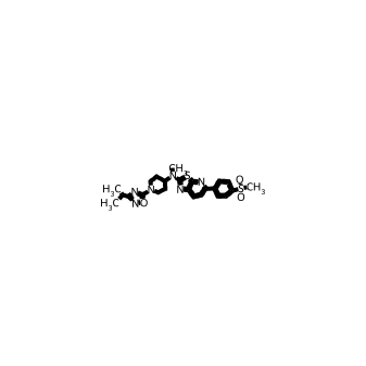 CC(C)c1noc(N2CCC(N(C)c3nc4ccc(-c5ccc(S(C)(=O)=O)cc5)nc4s3)CC2)n1